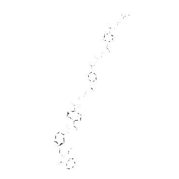 O=C(NCc1cccc(CN2C(=O)c3ccccc3C2=O)c1)c1ccc(C(=O)OCCOC(=O)c2ccc(C(=O)OCCOC(=O)c3ccc(C(=O)OCCO)cc3)cc2)cc1